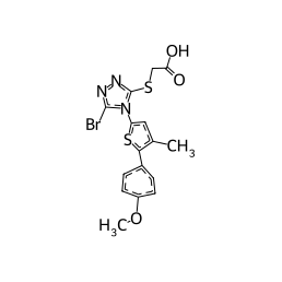 COc1ccc(-c2sc(-n3c(Br)nnc3SCC(=O)O)cc2C)cc1